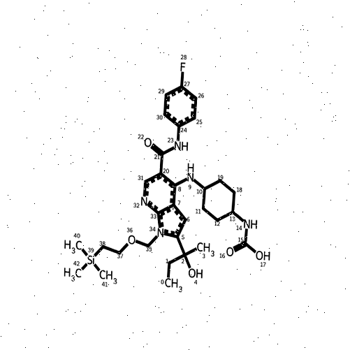 CCC(C)(O)c1cc2c(NC3CCC(NC(=O)O)CC3)c(C(=O)Nc3ccc(F)cc3)cnc2n1COCC[Si](C)(C)C